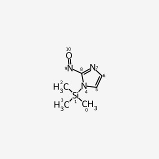 C[Si](C)(C)n1ccnc1N=O